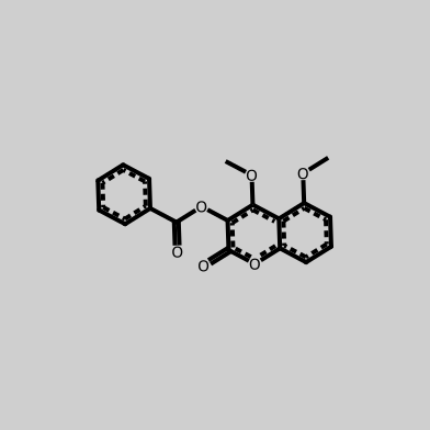 COc1cccc2oc(=O)c(OC(=O)c3ccccc3)c(OC)c12